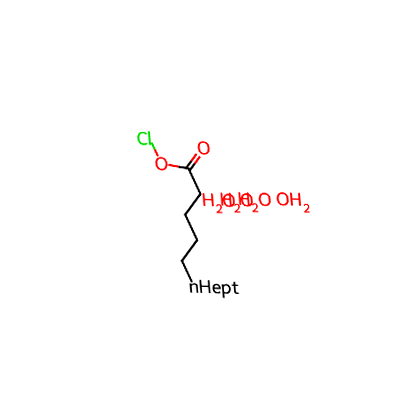 CCCCCCCCCCCC(=O)OCl.O.O.O.O